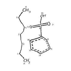 CCCCCCC.O=S(=O)(O)c1ccccc1